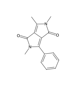 CC1=C2C(=O)N(C)C(c3ccccc3)=C2C(=O)N1C